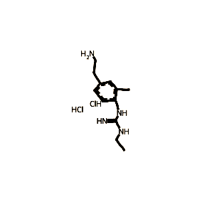 CCNC(=N)Nc1ccc(CCN)cc1C.Cl.Cl